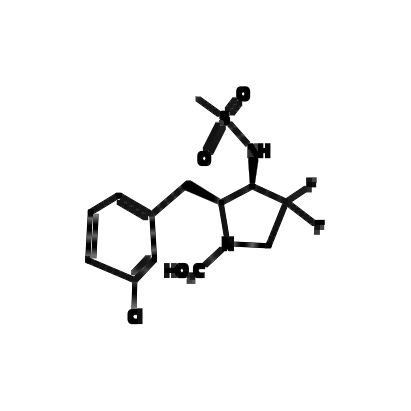 CS(=O)(=O)N[C@@H]1[C@H](Cc2cccc(Cl)c2)N(C(=O)O)CC1(F)F